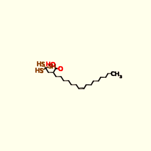 CCCCCCCC/C=C\CCCCCCC(CC(S)(S)S)C(=O)O